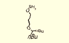 CCCCC(CCCC)OCCCO[SiH3]